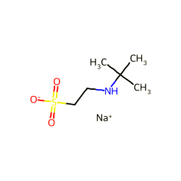 CC(C)(C)NCCS(=O)(=O)[O-].[Na+]